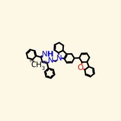 C[C@@H]1CC=CC=C1C(=N)/C=C(\NCN1C2=C(CC(C3C=CCC4C5C=CC=CC5OC34)C=C2)C2CCC=CC21)c1ccccc1